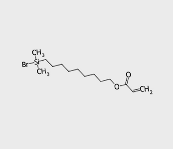 C=CC(=O)OCCCCCCCCC[Si](C)(C)Br